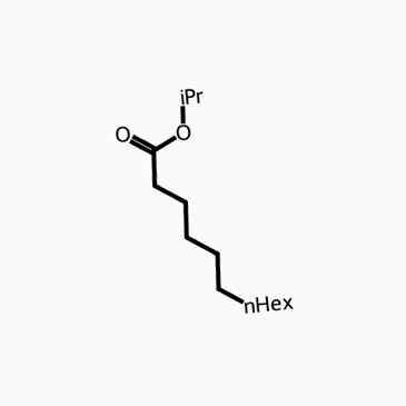 CCCCCCCCCCCC(=O)OC(C)C